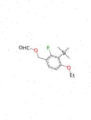 CCOc1ccc(COC=O)c(F)c1[Si](C)(C)C